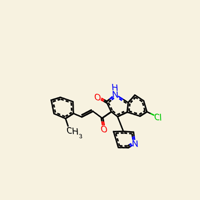 Cc1ccccc1C=CC(=O)c1c(-c2cccnc2)c2cc(Cl)ccc2[nH]c1=O